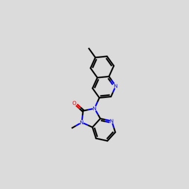 Cc1ccc2ncc(-n3c(=O)n(C)c4cccnc43)cc2c1